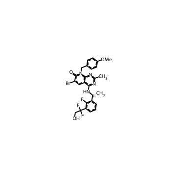 COc1ccc(Cn2c(=O)c(Br)cc3c(N[C@H](C)c4cccc(C(F)(F)CO)c4F)nc(C)nc32)cc1